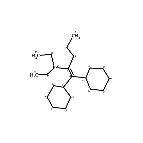 CCCC(=C(C1CCCCC1)C1CCCCC1)P(CC)CC